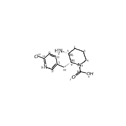 N[C@@H]1CCCN(C(=O)O)[C@@H]1Cc1ccc(Cl)nc1